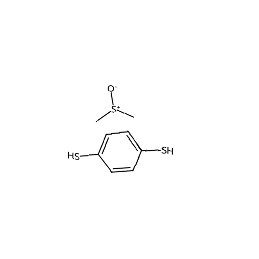 C[S+](C)[O-].Sc1ccc(S)cc1